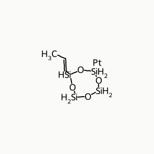 CC=C[SiH]1O[SiH2]O[SiH2]O[SiH2]O1.[Pt]